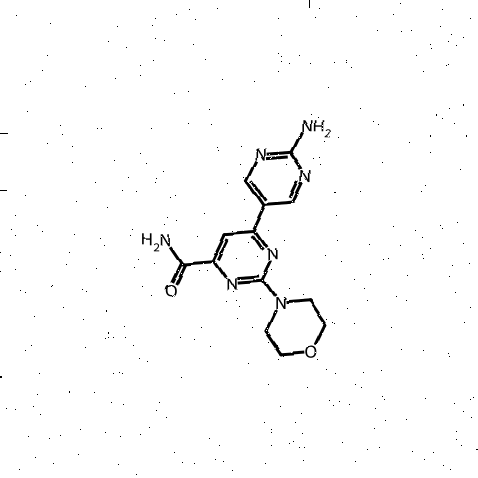 NC(=O)c1cc(-c2cnc(N)nc2)nc(N2CCOCC2)n1